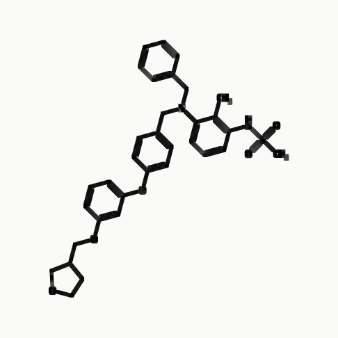 Cc1c(NS(C)(=O)=O)cccc1N(Cc1ccccc1)Cc1ccc(Oc2cccc(OCC3CCOC3)c2)cc1